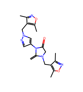 C=C1N(Cc2c(C)noc2C)CC(=O)N1c1cnn(Cc2c(C)noc2C)c1